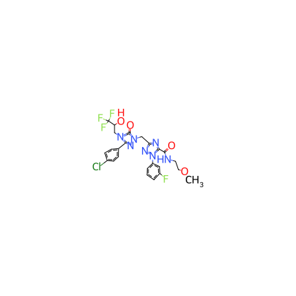 COCCNC(=O)c1nc(Cn2nc(-c3ccc(Cl)cc3)n(CC(O)C(F)(F)F)c2=O)nn1-c1cccc(F)c1